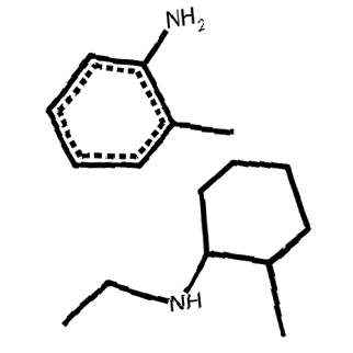 CCNC1CCCCC1C.Cc1ccccc1N